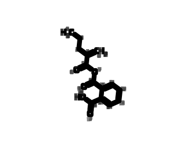 C=C(CCC)C(=O)OC(=O)c1ccccc1C(=O)O